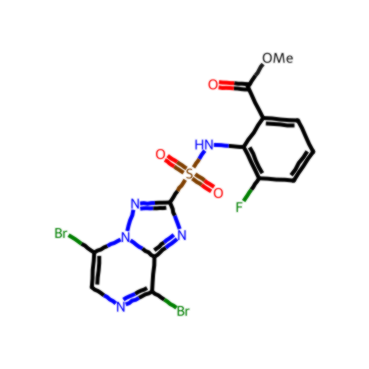 COC(=O)c1cccc(F)c1NS(=O)(=O)c1nc2c(Br)ncc(Br)n2n1